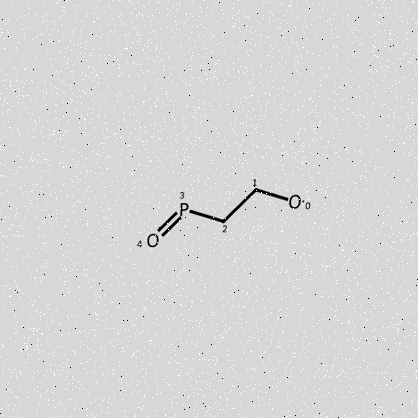 [O]CCP=O